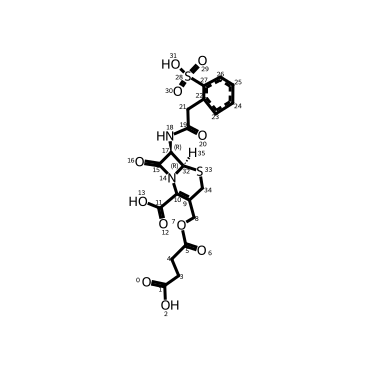 O=C(O)CCC(=O)OCC1=C(C(=O)O)N2C(=O)[C@@H](NC(=O)Cc3ccccc3S(=O)(=O)O)[C@H]2SC1